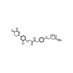 CC(C)(C)NCC(O)COc1ccc(CNC(=O)COc2ccc(C3=NNC(=O)CC3)cc2Cl)cc1